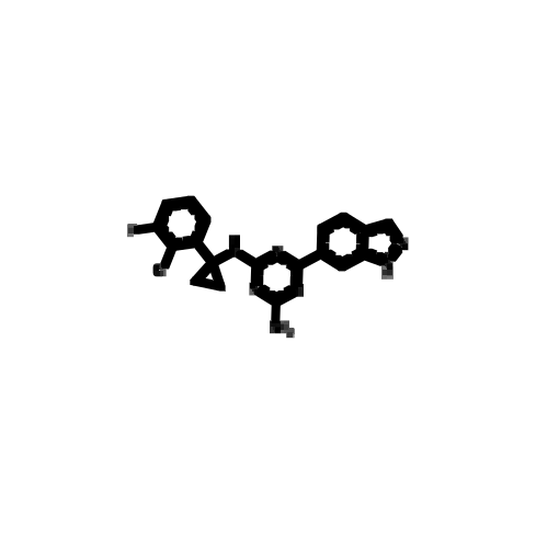 Nc1nc(NC2(c3cccc(F)c3Cl)CC2)nc(-c2ccc3cn[nH]c3c2)n1